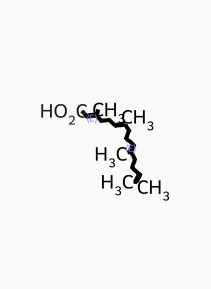 CC(C)=CCC/C(C)=C/CCC(C)=CCC/C(C)=C/C(=O)O